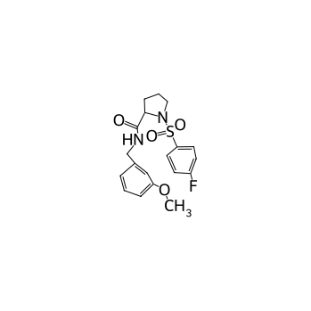 COc1cccc(CNC(=O)C2CCCN2S(=O)(=O)c2ccc(F)cc2)c1